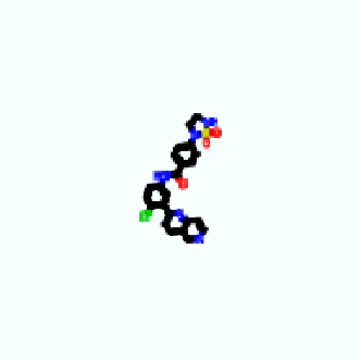 O=C(Nc1ccc(Cl)c(-c2ccc3cnccc3n2)c1)c1ccc(N2CCNS2(=O)=O)cc1